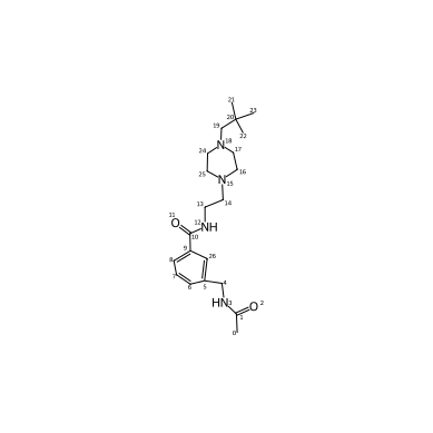 CC(=O)NCc1cccc(C(=O)NCCN2CCN(CC(C)(C)C)CC2)c1